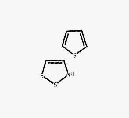 C1=CSSN1.c1ccsc1